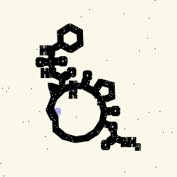 NC(=O)OC1CCCCC/C=C/C2CC2(C(=O)NS(=O)(=O)NC2CCCCC2)NC(=O)C2CCCN2C1=O